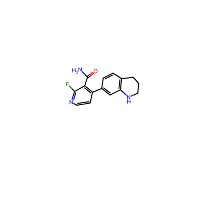 NC(=O)c1c(-c2ccc3c(c2)NCCC3)ccnc1F